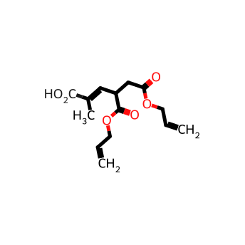 C=CCOC(=O)CC(C=C(C)C(=O)O)C(=O)OCC=C